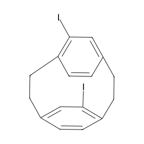 Ic1cc2ccc1CCc1ccc(c(I)c1)CC2